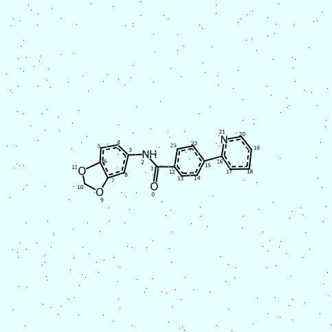 O=C(Nc1ccc2c(c1)OCO2)c1ccc(-c2ccccn2)cc1